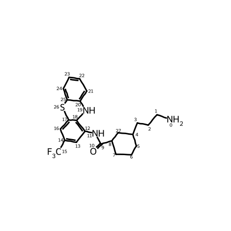 NCCCC1CCCC(C(=O)Nc2cc(C(F)(F)F)cc3c2Nc2ccccc2S3)C1